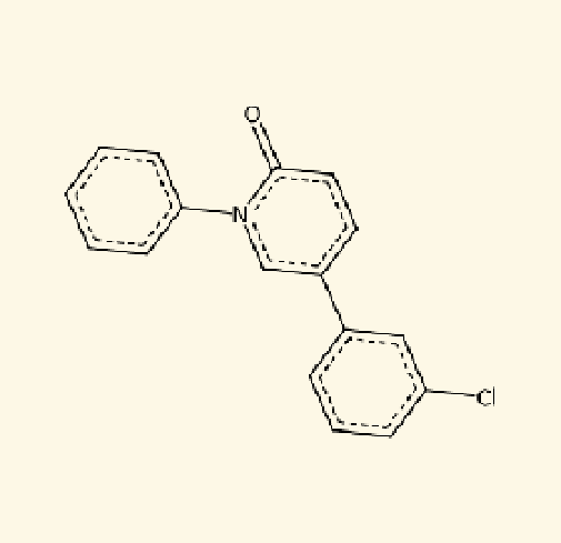 O=c1ccc(-c2cccc(Cl)c2)cn1-c1ccccc1